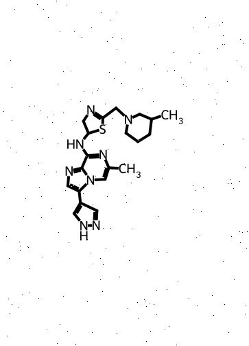 Cc1cn2c(-c3cn[nH]c3)cnc2c(NC2CN=C(CN3CCCC(C)C3)S2)n1